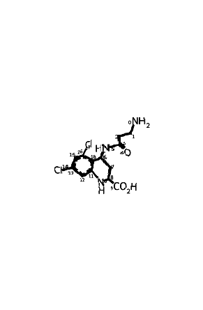 NCCC(=O)NC1CC(C(=O)O)Nc2cc(Cl)cc(Cl)c21